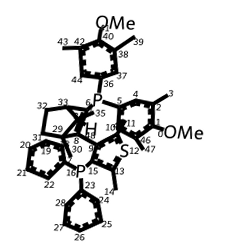 COc1c(C)cc(P(C2=C(c3c(C)sc(C)c3P(c3ccccc3)c3ccccc3)C3(C)CCC2[C@@H]3C)c2cc(C)c(OC)c(C)c2)cc1C